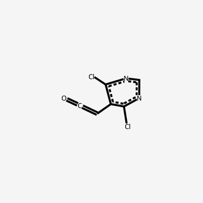 O=C=Cc1c(Cl)ncnc1Cl